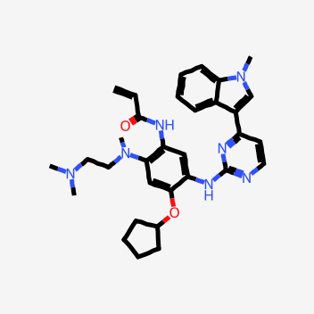 C=CC(=O)Nc1cc(Nc2nccc(-c3cn(C)c4ccccc34)n2)c(OC2CCCC2)cc1N(C)CCN(C)C